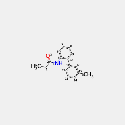 CCC(=O)Nc1ccccc1-c1cccc(C)c1